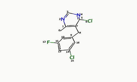 Cc1ncnc(Cl)c1Cc1cc(F)cc(Cl)c1